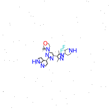 Cc1nn(C2CCNCC2(F)F)c(C)c1-c1cc(N2CCOC[C@H]2C)nc(-c2ccnc3[nH]ccc23)n1